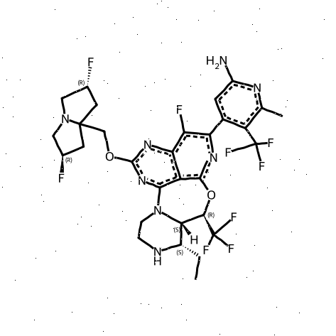 CC[C@@H]1NCCN2c3nc(OCC45C[C@@H](F)CN4C[C@H](F)C5)nc4c(F)c(-c5cc(N)nc(C)c5C(F)(F)F)nc(c34)O[C@@H](C(F)(F)F)[C@H]12